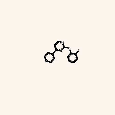 Fc1ccccc1Oc1nccc(-c2ccccc2)n1